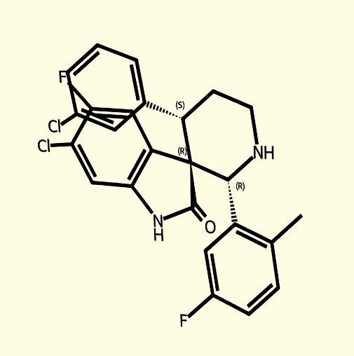 Cc1ccc(F)cc1[C@H]1NCC[C@@H](c2cccc(Cl)c2)[C@]12C(=O)Nc1cc(Cl)c(F)cc12